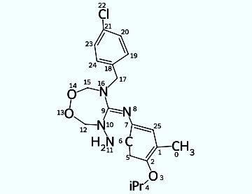 CC1=C(OC(C)C)CCC(/N=C2\N(N)COOCN2Cc2ccc(Cl)cc2)=C1